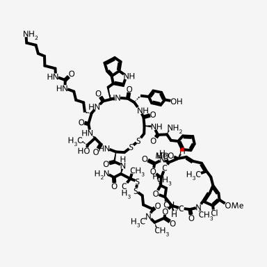 COc1cc2cc(c1Cl)N(C)C(=O)C[C@H](OC(=O)[C@H](C)N(C)C(=O)CCSSC(C)(C)[C@H](NC(=O)[C@@H]1CSSC[C@H](NC(=O)[C@H](N)Cc3ccccc3)C(=O)N[C@@H](Cc3ccc(O)cc3)C(=O)N[C@H](Cc3c[nH]c4ccccc34)C(=O)N[C@@H](CCCCNC(=O)NCCCCCCN)C(=O)N[C@@H]([C@@H](C)O)C(=O)N1)C(N)=O)[C@@]1(C)CC(C)(O1)[C@@H]1C[C@@](O)(NC(=O)O1)[C@H](OC)/C=C/C=C(\C)C2